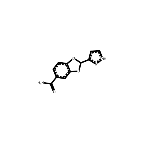 NC(=O)c1ccc2c(c1)OC(c1cc[nH]n1)O2